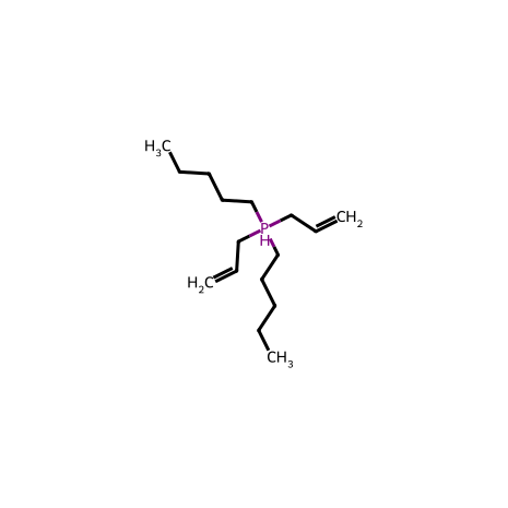 C=CC[PH](CC=C)(CCCCC)CCCCC